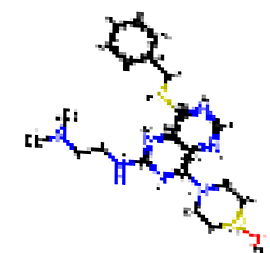 CCN(CC)CCNc1nc(N2CC[S+]([O-])CC2)c2ncnc(SCc3ccccc3)c2n1